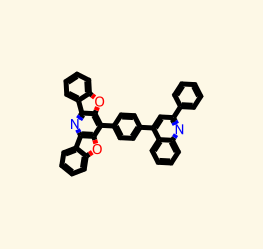 c1ccc(-c2cc(-c3ccc(-c4c5oc6ccccc6c5nc5c4oc4ccccc45)cc3)c3ccccc3n2)cc1